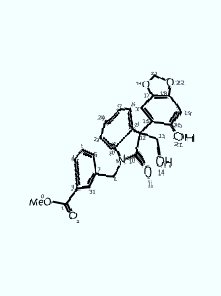 COC(=O)c1cccc(CN2C(=O)C(CO)(c3cc4c(cc3O)OCO4)c3ccccc32)c1